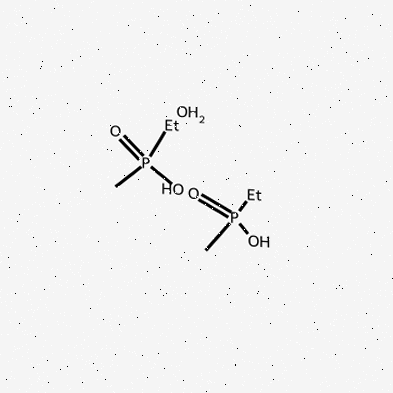 CCP(C)(=O)O.CCP(C)(=O)O.O